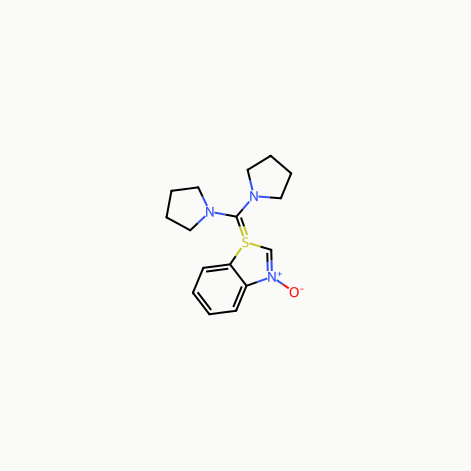 [O-][N+]1=CS(=C(N2CCCC2)N2CCCC2)c2ccccc21